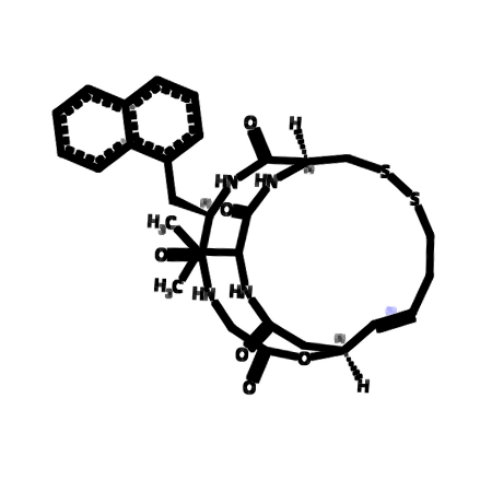 CC(C)C1NC(=O)C[C@H]2/C=C/CCSSC[C@@H](NC1=O)C(=O)N[C@H](Cc1cccc3ccccc13)C(=O)NCC(=O)O2